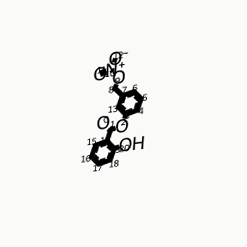 O=C(Oc1cccc(CO[N+](=O)[O-])c1)c1ccccc1O